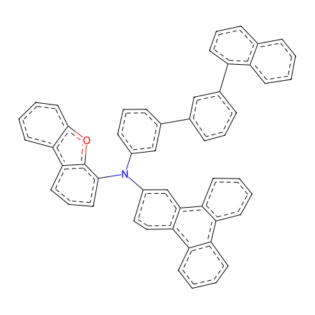 c1cc(-c2cccc(N(c3ccc4c5ccccc5c5ccccc5c4c3)c3cccc4c3oc3ccccc34)c2)cc(-c2cccc3ccccc23)c1